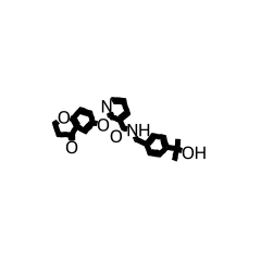 CC(C)(O)c1ccc(CNC(=O)c2cccnc2Oc2ccc3c(c2)C(=O)CCO3)cc1